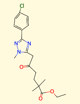 CCOC(=O)C(C)(C)CCC(=O)Cc1nc(-c2ccc(Cl)cc2)nn1C